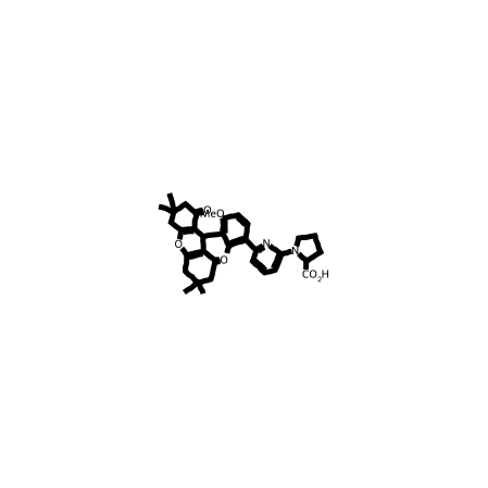 COc1ccc(-c2cccc(N3CCCC3C(=O)O)n2)c(C)c1C1C2=C(CC(C)(C)CC2=O)OC2=C1C(=O)CC(C)(C)C2